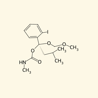 CNC(=O)O[C@](CC(C)C)(OCOC)c1ccccc1I